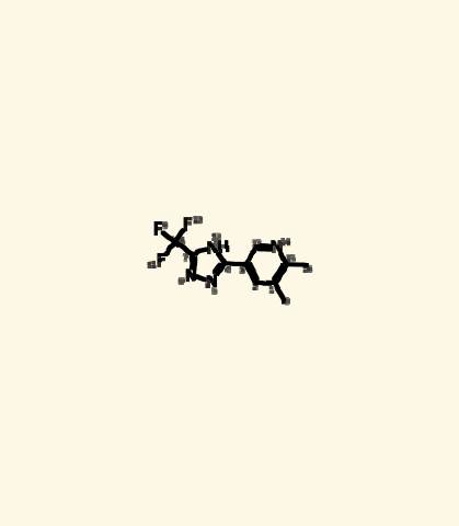 Cc1cc(-c2nnc(C(F)(F)F)[nH]2)cnc1C